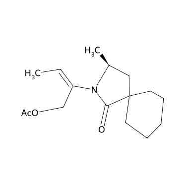 C/C=C(\COC(C)=O)N1C(=O)C2(CCCCC2)C[C@@H]1C